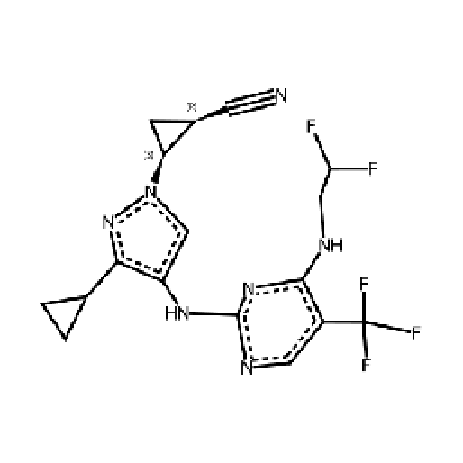 N#C[C@@H]1C[C@@H]1n1cc(Nc2ncc(C(F)(F)F)c(NCC(F)F)n2)c(C2CC2)n1